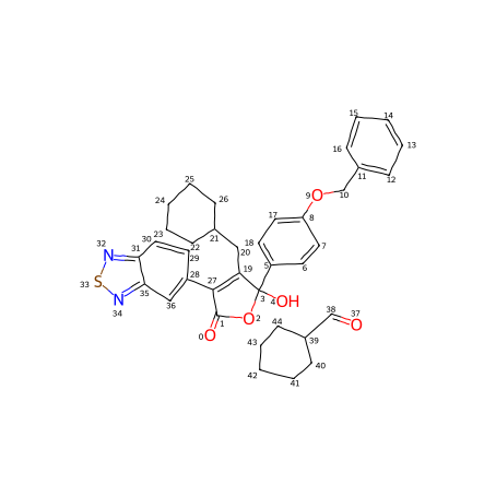 O=C1OC(O)(c2ccc(OCc3ccccc3)cc2)C(CC2CCCCC2)=C1c1ccc2nsnc2c1.O=CC1CCCCC1